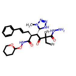 CCCC(CC(C)C)(C(=O)NN)C(=O)[C@@H](C1NN=NN1C)[C@H](CC=Cc1ccccc1)C(=O)NOC1CCCCO1